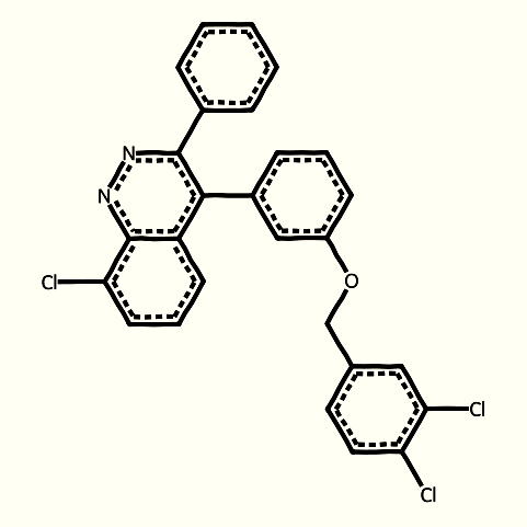 Clc1ccc(COc2cccc(-c3c(-c4ccccc4)nnc4c(Cl)cccc34)c2)cc1Cl